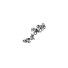 C=C(C)OC(=O)N1CCC[C@H]1c1ncc(-c2cc3sc(-c4ccc5nc([C@@H]6CCCN6C(=O)[C@@H](NC(=O)OC)C(C)C)[nH]c5c4)cc3s2)[nH]1